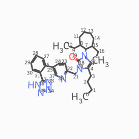 CCCCc1cn(C2C(CC)CCCCC2CC)c(=O)n1Cc1ccc(-c2ccccc2-c2nnn[nH]2)cn1